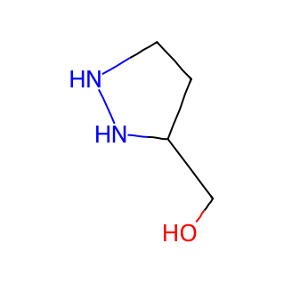 OCC1CCNN1